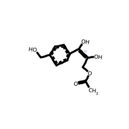 CC(=O)OC/C(O)=C(/O)c1ccc(CO)cc1